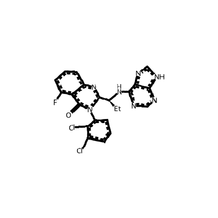 CC[C@H](Nc1ncnc2[nH]cnc12)c1nc2cccc(F)c2c(=O)n1-c1cccc(Cl)c1Cl